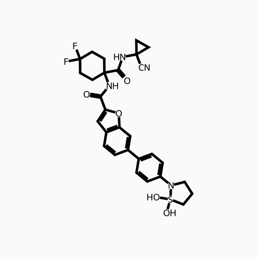 N#CC1(NC(=O)C2(NC(=O)c3cc4ccc(-c5ccc(N6CCCS6(O)O)cc5)cc4o3)CCC(F)(F)CC2)CC1